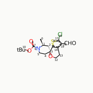 C[C@H]1C[C@@]2(CCN1C(=O)OC(C)(C)C)OCCc1c2sc(Cl)c1C=O